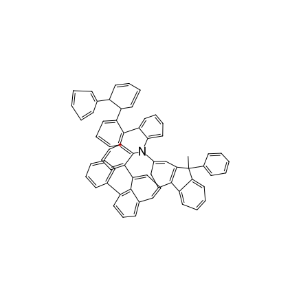 CC1(c2ccccc2)C2=C(CCC(N(c3ccccc3-c3ccccc3C3C=CC=CC3c3ccccc3)c3ccccc3-c3cccc4cccc(-c5ccccc5)c34)=C2)c2ccccc21